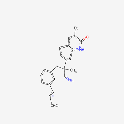 CCc1cc2ccc(C(C)(C=N)Cc3cccc(/C=C/C=O)c3)cc2[nH]c1=O